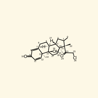 CC1C[C@H]2[C@@H]3CCC4=CC(=O)C=C[C@]4(C)[C@@]3(O)CC[C@]2(C)[C@@]1(C)C(=O)CCl